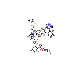 CCCCCc1c(Cc2ccc(-c3ccccc3-c3nnn[nH]3)cc2)c(=O)n2n1C1CCC2(COCc2ccccc2C(=O)OCC)CC1